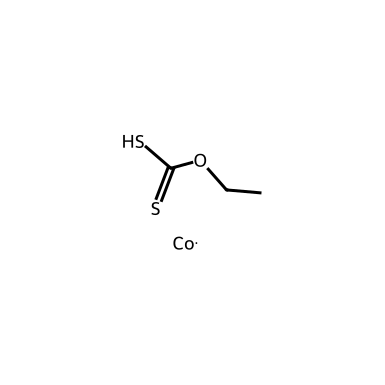 CCOC(=S)S.[Co]